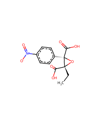 CC[C@]1(C(=O)O)O[C@@]1(C(=O)O)c1ccc([N+](=O)[O-])cc1